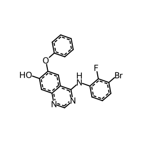 Oc1cc2ncnc(Nc3cccc(Br)c3F)c2cc1Oc1ccccc1